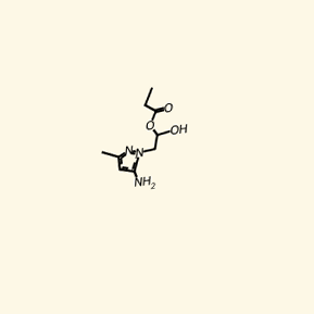 CCC(=O)OC(O)Cn1nc(C)cc1N